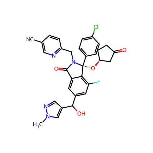 Cn1cc(C(O)c2cc(F)c3c(c2)C(=O)N(Cc2ccc(C#N)cn2)[C@@]3(O[C@H]2CCC(=O)C2)c2ccc(Cl)cc2)cn1